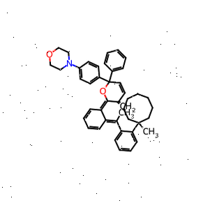 C=C1C=CC(c2ccccc2)(c2ccc(N3CCOCC3)cc2)O/C1=c1\cccc\c1=C(\C)c1ccccc1C1(C)CCCCCCC1